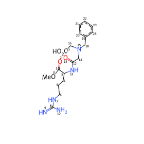 COC(=O)C(CCCNC(=N)N)NC(=O)CN(CC(=O)O)Cc1ccccc1